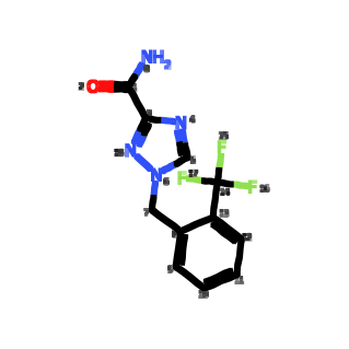 NC(=O)c1ncn(Cc2ccccc2C(F)(F)F)n1